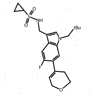 CC(C)(C)Cn1cc(CNS(=O)(=O)C2CC2)c2cc(F)c(C3=CCOCC3)cc21